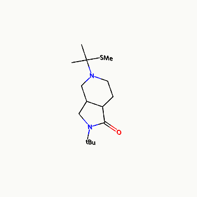 CSC(C)(C)N1CCC2C(=O)N(C(C)(C)C)CC2C1